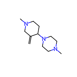 C=C1CN(C)CCC1N1CCN(C)CC1